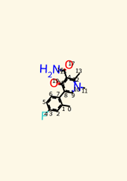 Cc1cc(F)ccc1-c1cn(C)c(C)c(C(N)=O)c1=O